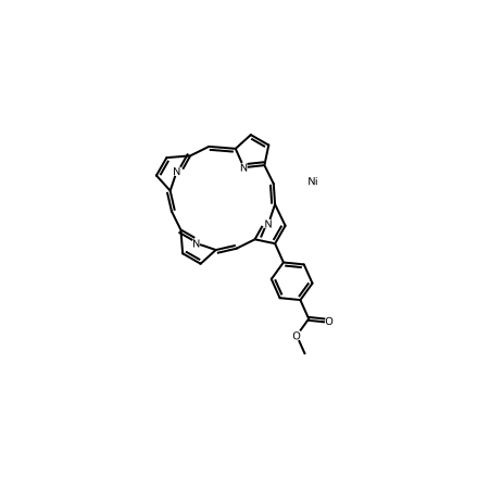 COC(=O)c1ccc(C2=CC3=CC4=NC(=CC5=NC(=CC6=NC(=CC2=N3)C=C6)C=C5)C=C4)cc1.[Ni]